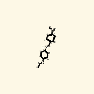 CCOc1ccc(NCc2ccc(N(C)C)cc2)cc1